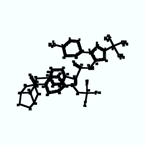 Cc1ccc(-n2nc(C(C)(C)C)cc2NC(=O)Nc2ccc(CC3CC4CCC(C3)N4C(=O)c3ccc(OCC(F)(F)F)nc3)cc2)cc1